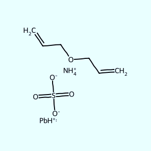 C=CCOCC=C.O=S(=O)([O-])[O-].[NH4+].[PbH+]